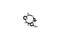 CC(C)(C)c1ccc2c(n1)N1CC(CC1(C)C)OCCNc1cccc(n1)SNC2=O